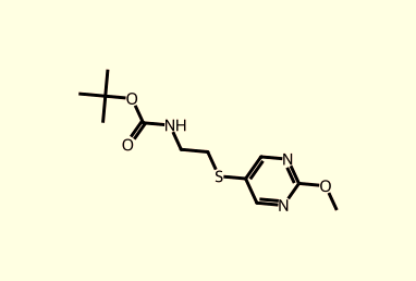 COc1ncc(SCCNC(=O)OC(C)(C)C)cn1